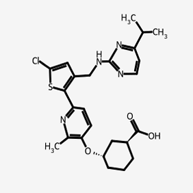 Cc1nc(-c2sc(Cl)cc2CNc2nccc(C(C)C)n2)ccc1O[C@H]1CCC[C@H](C(=O)O)C1